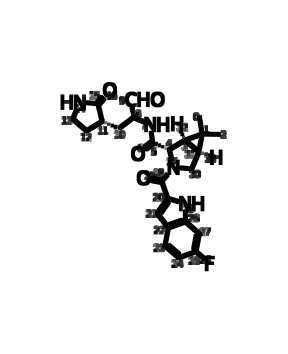 CC1(C)[C@@H]2[C@@H](C(=O)N[C@H](C=O)C[C@@H]3CCNC3=O)N(C(=O)c3cc4ccc(F)cc4[nH]3)C[C@@H]21